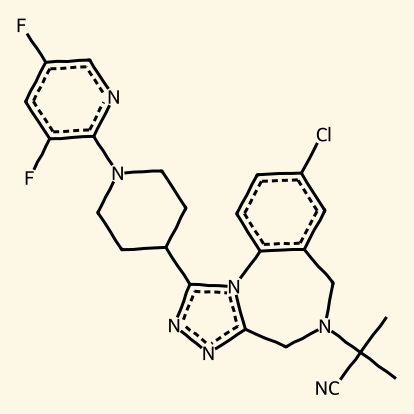 CC(C)(C#N)N1Cc2cc(Cl)ccc2-n2c(nnc2C2CCN(c3ncc(F)cc3F)CC2)C1